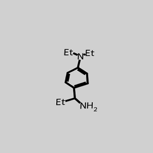 CCC(N)c1ccc(N(CC)CC)cc1